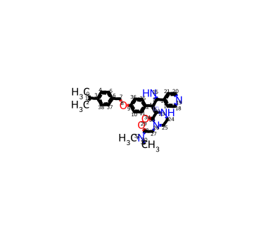 CC(C)c1ccc(COc2ccc(/C(C(=N)c3ccncc3)=C3/NCCN(CC(=O)N(C)C)C3=O)cc2)cc1